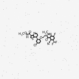 CONC(=O)c1csc2c(-c3cc(Cl)ccc3OCCn3c(C)nc4c(F)cc(C(F)F)c(C#N)c4c3=O)ccnc12